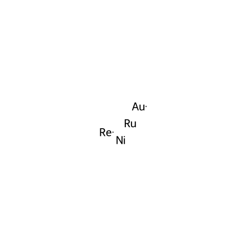 [Au].[Ni].[Re].[Ru]